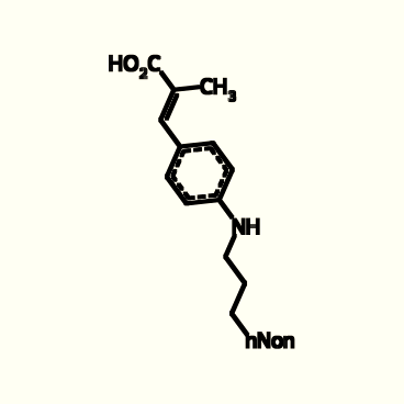 CCCCCCCCCCCCNc1ccc(C=C(C)C(=O)O)cc1